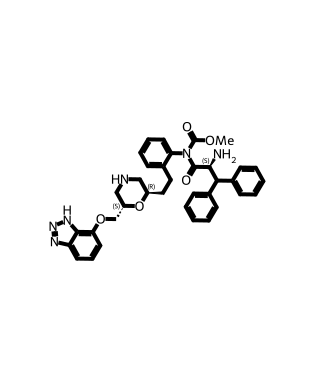 COC(=O)N(C(=O)[C@@H](N)C(c1ccccc1)c1ccccc1)c1ccccc1CC[C@@H]1CNC[C@@H](COc2cccc3nn[nH]c23)O1